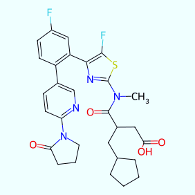 CN(C(=O)C(CC(=O)O)CC1CCCC1)c1nc(-c2cc(F)ccc2-c2ccc(N3CCCC3=O)nc2)c(F)s1